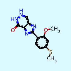 COc1cc(SC)ccc1-c1nc2c[nH][nH]c(=O)c-2n1